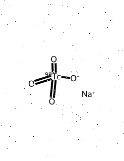 [Na+].[O]=[99Tc](=[O])(=[O])[O-]